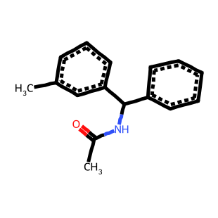 CC(=O)NC(c1ccccc1)c1cccc(C)c1